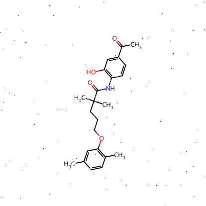 CC(=O)c1ccc(NC(=O)C(C)(C)CCCOc2cc(C)ccc2C)c(O)c1